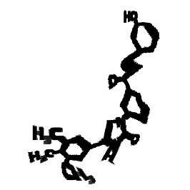 Cc1cc(-c2cn(-c3cccc(C(=O)/C=C/c4cccc(O)c4)c3)c(=O)[nH]2)cc(C)c1C